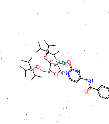 CC(C)[Si](OC[C@H]1O[C@@H](n2ccc(NC(=O)c3ccccc3)nc2=O)[C@](Cl)(Br)[C@@H]1O[Si](C(C)C)(C(C)C)C(C)C)(C(C)C)C(C)C